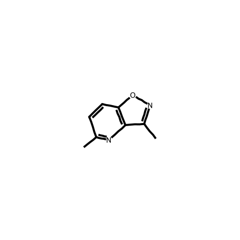 Cc1ccc2onc(C)c2n1